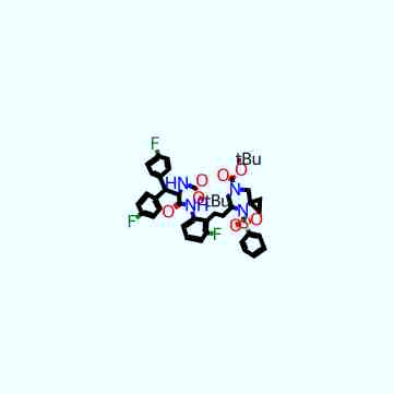 CC(C)(C)OC(=O)NC(C(=O)Nc1cccc(F)c1CCC1CN(C(=O)OC(C)(C)C)CC2(CC2)N1S(=O)(=O)c1ccccc1)C(c1ccc(F)cc1)c1ccc(F)cc1